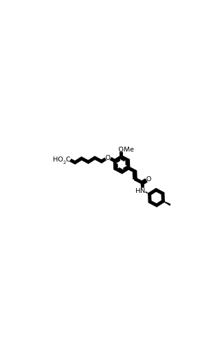 COc1cc(C=CC(=O)N[C@H]2CC[C@H](C)CC2)ccc1OCCCCCC(=O)O